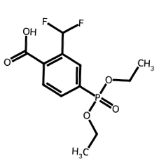 CCOP(=O)(OCC)c1ccc(C(=O)O)c(C(F)F)c1